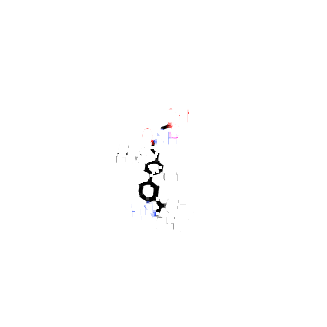 C/C(=C\c1cc(C)c(-c2ccc3[nH]c(C)c(C)c3c2)cc1C)C(=O)NCC(=O)O